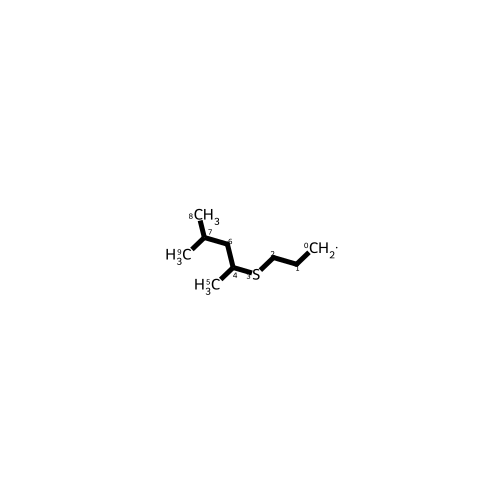 [CH2]CCSC(C)CC(C)C